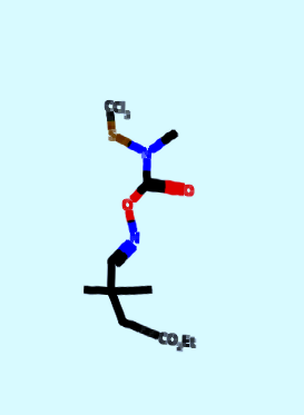 CCOC(=O)CC(C)(C)/C=N/OC(=O)N(C)SC(Cl)(Cl)Cl